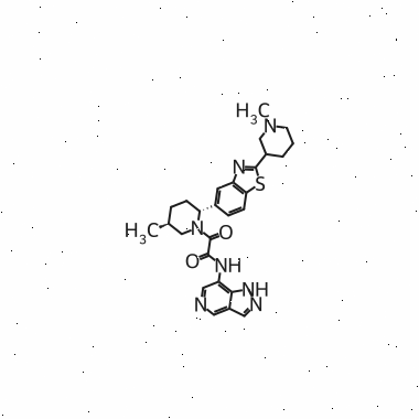 C[C@H]1CC[C@H](c2ccc3sc(C4CCCN(C)C4)nc3c2)N(C(=O)C(=O)Nc2cncc3cn[nH]c23)C1